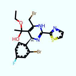 CCOC(C)(O)C1=C(CBr)NC(c2nccs2)=N[C@H]1c1ccc(F)cc1Br